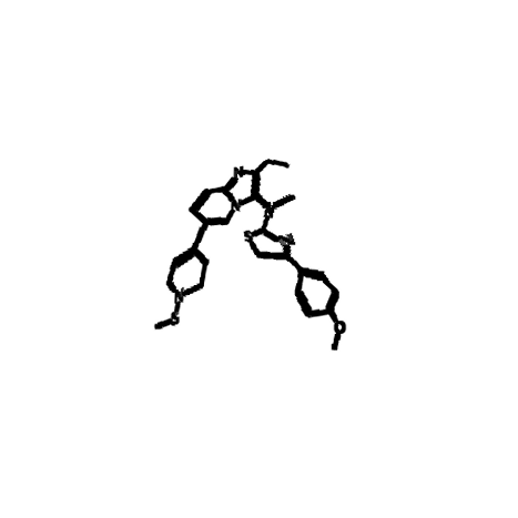 CCc1nc2ccc(C3=CCN(SC)CC3)cn2c1N(C)c1nc(-c2ccc(OC)cc2)cs1